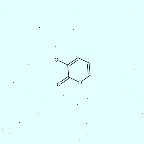 [O]c1cccoc1=O